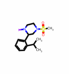 CC(C)c1ccccc1C1CN(S(C)(=O)=O)CCN1I